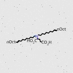 CCCCCCCCC=CCCCCCCCCN(CCCCCCCCC=CCCCCCCCC)[C@@H](CCC(=O)O)C(=O)O